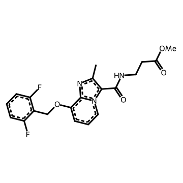 COC(=O)CCNC(=O)c1c(C)nc2c(OCc3c(F)cccc3F)cccn12